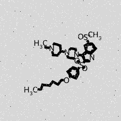 CCCCCCCOc1ccc(S(=O)(=O)c2cnc3ccc([S+](C)[O-])cc3c2N2CCN(C3CCN(CC)CC3)CC2)cc1